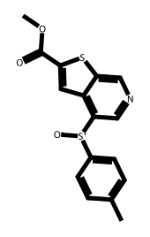 COC(=O)c1cc2c([S+]([O-])c3ccc(C)cc3)cncc2s1